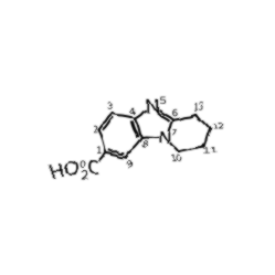 O=C(O)c1ccc2nc3n(c2c1)CCCC3